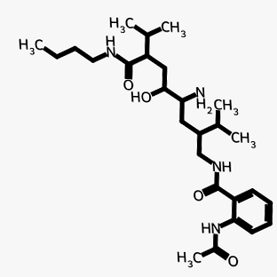 CCCCNC(=O)C(CC(O)C(N)CC(CNC(=O)c1ccccc1NC(C)=O)C(C)C)C(C)C